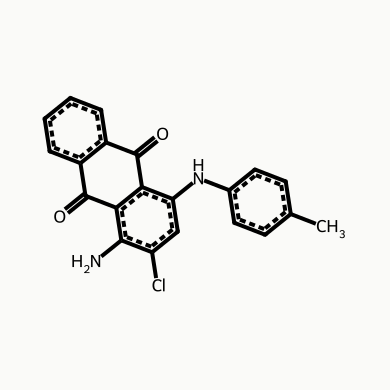 Cc1ccc(Nc2cc(Cl)c(N)c3c2C(=O)c2ccccc2C3=O)cc1